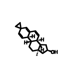 C[C@]12CC[C@H]3[C@@H](C=CC4=CC5(C=C[C@@H]43)CC5)[C@@H]1C[C@@H](O)C2